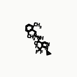 Cc1cccc(C)c1C=NNC(=O)c1cnn(C2CC2)c1C(F)(F)F